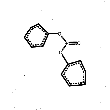 O=[P](Oc1ccccc1)Oc1ccccc1